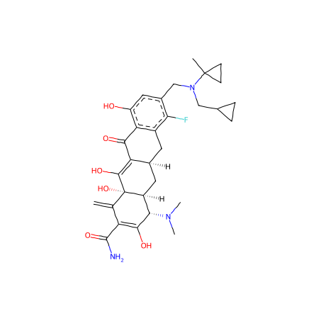 C=C1C(C(N)=O)=C(O)[C@@H](N(C)C)[C@@H]2C[C@@H]3Cc4c(F)c(CN(CC5CC5)C5(C)CC5)cc(O)c4C(=O)C3=C(O)[C@]12O